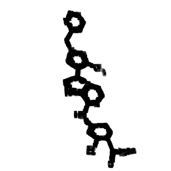 CCc1cc(Nc2nccn3c(-c4cn(Cc5ccncn5)nc4C(F)(F)F)cnc23)ccc1C(=O)NC